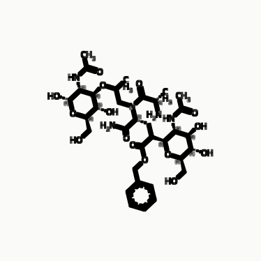 CC(=O)N[C@@H]1[C@@H](OC(C)CN(C(=O)[C@H](C)N)[C@H](CC(C(=O)OCc2ccccc2)[C@@H]2O[C@H](CO)[C@@H](O)[C@H](O)[C@H]2NC(C)=O)C(N)=O)[C@H](O)[C@@H](CO)O[C@@H]1O